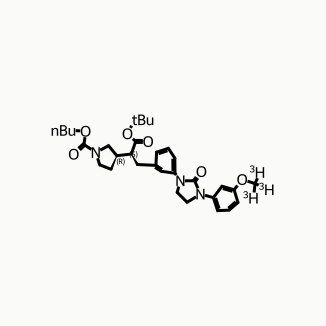 [3H]C([3H])([3H])Oc1cccc(N2CCN(c3cccc(C[C@H](C(=O)OC(C)(C)C)[C@H]4CCN(C(=O)OCCCC)C4)c3)C2=O)c1